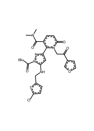 CN(C)C(=O)c1ccc(=O)n(CC(=O)c2ccoc2)c1-c1cc(NCc2ccc(Cl)s2)n(C(=O)C(C)(C)C)n1